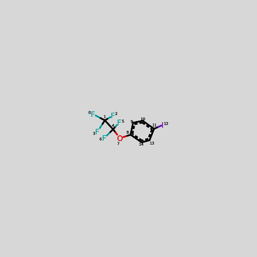 FC(F)(F)C(F)(F)Oc1ccc(I)cc1